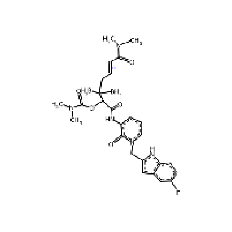 BC(B)(C/C=C/C(=O)N(C)C)C(OC(=O)N(C)C)C(=O)Nc1cccn(Cc2cc3cc(F)ccc3[nH]2)c1=O